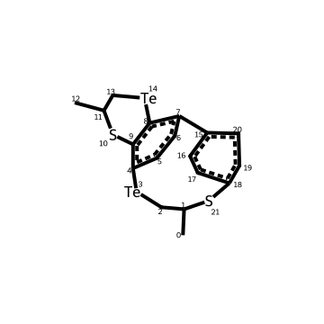 CC1C[Te]c2ccc(c3c2SC(C)C[Te]3)-c2ccc(cc2)S1